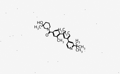 C=C/C(=C\C(=C/C)c1ccnc(C(C)(C)C)c1)c1ccc(C(=O)N2CCCC(C)(O)C2)cc1C